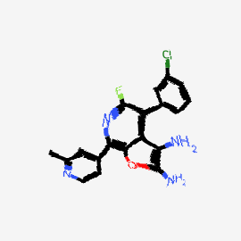 Cc1cc(-c2nc(F)c(-c3cccc(Cl)c3)c3c(N)c(N)oc23)ccn1